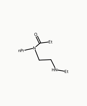 CCCN(CCNCC)C(=O)CC